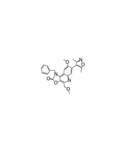 COCc1nc2cc(-c3c(C)noc3C)c(OC)cc2c2c1oc(=O)n2Cc1ccccc1